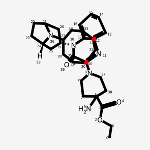 CCOC(=O)C1(N)CCN(c2nc3ccccc3n([C@H]3CC4CC[C@@H](C3)N4C3CCCCCCC3)c2=O)CC1